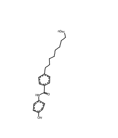 CCCCCCCCCCCCCCCCCCc1ccc(C(=O)Nc2ccc(O)cc2)cc1